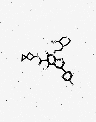 C[C@H]1COCCN1CCn1c(=O)c(C(=O)NC2CC3(CC3)C2)c(O)c2cc(-c3ccc(F)cc3)cnc21